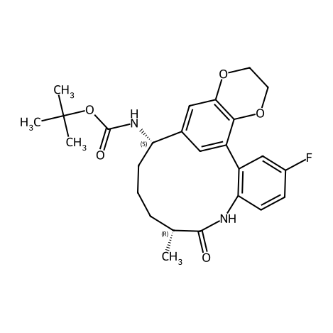 C[C@@H]1CCC[C@H](NC(=O)OC(C)(C)C)c2cc3c(c(c2)-c2cc(F)ccc2NC1=O)OCCO3